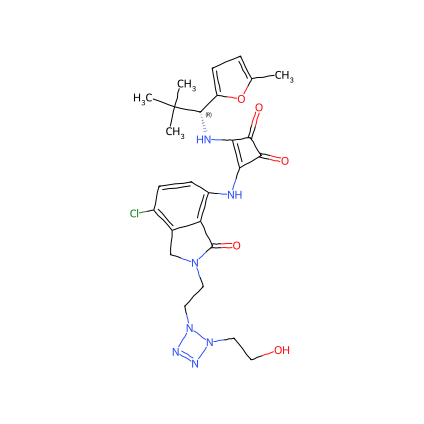 Cc1ccc([C@H](Nc2c(Nc3ccc(Cl)c4c3C(=O)N(CCn3nnn3CCO)C4)c(=O)c2=O)C(C)(C)C)o1